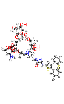 CC[C@H]1OC(=O)[C@H](C)[C@@H](O[C@H]2C[C@@](C)(OC)[C@@H](O)[C@H](C)O2)[C@H](C)[C@@H](O[C@@H]2O[C@H](C)C[C@H](N(C)C)[C@H]2O)[C@](C)(O)C[C@@H](C)CN(CCCNC(=O)/C=C/c2cc3c(s2)-c2cc(C)ccc2Sc2ccccc2-3)[C@H](C)[C@@H](O)[C@]1(C)O